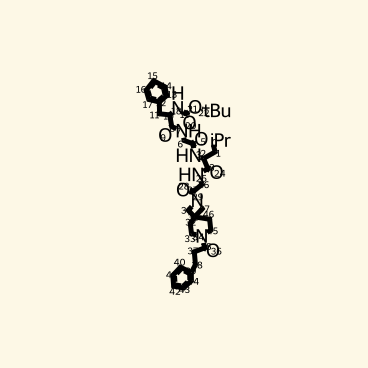 CC(C)CC(NC(=O)CNC(=O)C(Cc1ccccc1)NC(=O)OC(C)(C)C)C(=O)NCC(=O)N1CC2(CCN(C(=O)CCc3ccccc3)CC2)C1